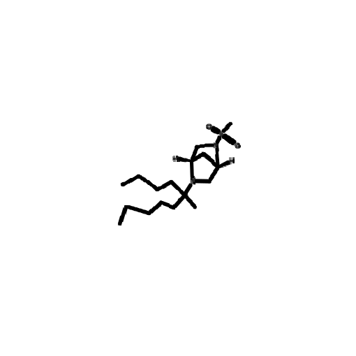 CCCCCC(C)(CCCC)N1C[C@@H]2C[C@H]1CN2S(C)(=O)=O